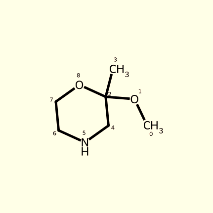 COC1(C)CNCCO1